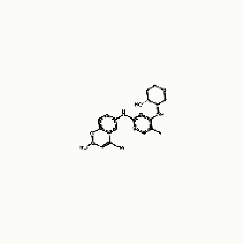 Cc1cnc(Nc2ccc3c(c2)C(C(C)C)=CB(O)O3)nc1N[C@@H]1COCC[C@H]1C#N